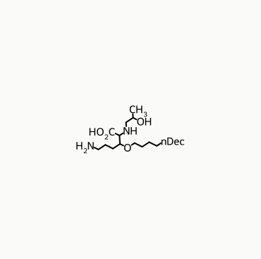 CCCCCCCCCCCCCCOC(CCCN)C(NCC(C)O)C(=O)O